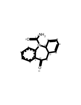 NC(=O)N1c2ccccc2C(=O)CC2C=CC=CC21